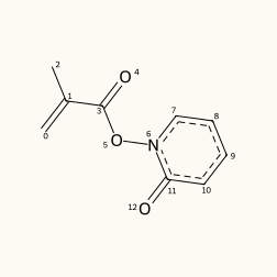 C=C(C)C(=O)On1ccccc1=O